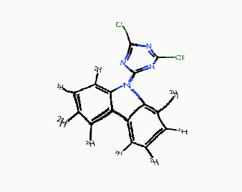 [2H]c1c([2H])c([2H])c2c(c1[2H])c1c([2H])c([2H])c([2H])c([2H])c1n2-c1nc(Cl)nc(Cl)n1